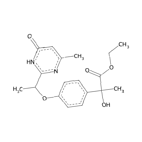 CCOC(=O)C(C)(O)c1ccc(OC(C)c2nc(C)cc(=O)[nH]2)cc1